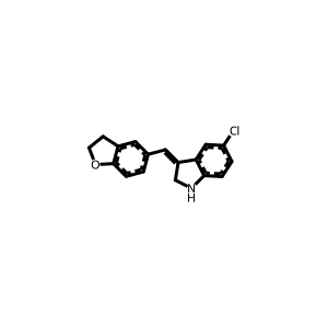 Clc1ccc2c(c1)C(=Cc1ccc3c(c1)CCO3)CN2